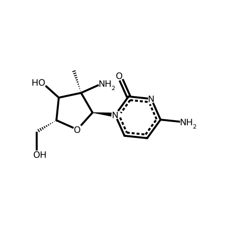 C[C@@]1(N)C(O)[C@@H](CO)O[C@@H]1n1ccc(N)nc1=O